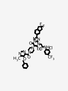 CCc1c(N2CCN(C(=O)c3ncnc(C)c3OCc3ccccc3)CC2)c(=O)n2nc(-c3ccc4c(c3)CC(F)(F)C4)nc2n1CC(=O)Nc1ccc(C(F)(F)F)cc1Cl